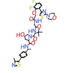 Cc1ncsc1-c1ccc([C@H](C)NC(=O)C2C[C@@H](O)CN2C(=O)[C@@H](NC(=O)CNC(=O)COc2c(-c3csc(N4CCOCC4)n3)ccc(F)c2F)C(C)(C)C)cc1